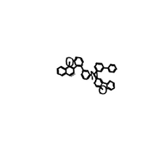 c1ccc(-c2cccc(N(c3cccc(-c4cccc5oc6c7ccccc7ccc6c45)c3)c3ccc4oc5ccccc5c4c3)c2)cc1